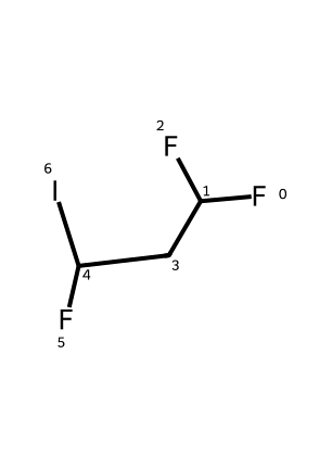 FC(F)CC(F)I